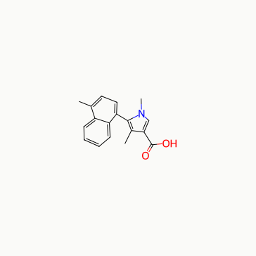 Cc1c(C(=O)O)cn(C)c1-c1ccc(C)c2ccccc12